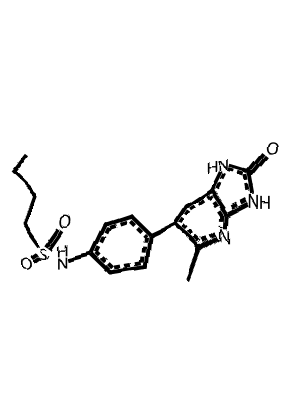 CCCCS(=O)(=O)Nc1ccc(-c2cc3[nH]c(=O)[nH]c3nc2C)cc1